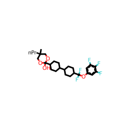 CCCC1(C)COC(O)(C2CCC(C3CCC(C(F)(F)Oc4cc(F)c(F)c(F)c4)CC3)CC2)OC1